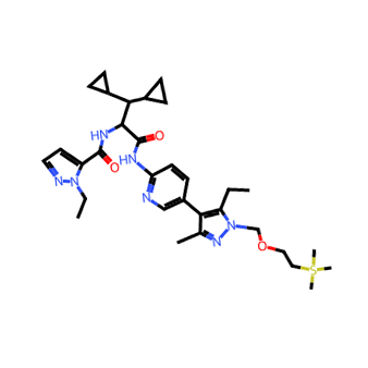 CCc1c(-c2ccc(NC(=O)C(NC(=O)c3ccnn3CC)C(C3CC3)C3CC3)nc2)c(C)nn1COCCS(C)(C)C